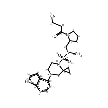 CN(CC1CCCN1C(=O)CCC#N)S(=O)(=O)N1CCN(c2ncnc3[nH]ccc23)CC12CC2